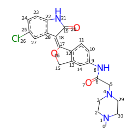 CN1CCN(CC(=O)Nc2ccc3c(c2)CO/C3=C2/C(=O)Nc3ccc(Cl)cc32)CC1